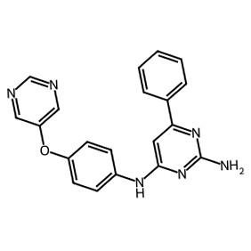 Nc1nc(Nc2ccc(Oc3cncnc3)cc2)cc(-c2ccccc2)n1